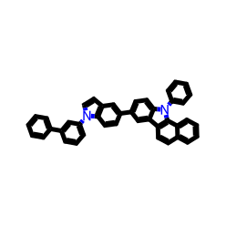 c1ccc(-c2cccc(-n3ccc4cc(-c5ccc6c(c5)c5ccc7ccccc7c5n6-c5ccccc5)ccc43)c2)cc1